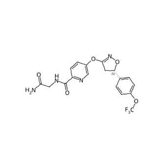 NC(=O)CNC(=O)c1ccc(OC2=NO[C@H](c3ccc(OC(F)(F)F)cc3)C2)cn1